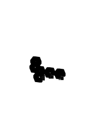 c1cncc(-c2ccc(-c3cc4c5ccccc5ccc4c4cccnc34)cn2)c1